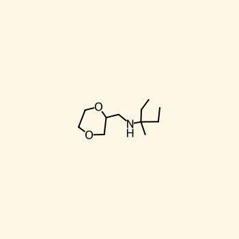 CCC(C)(CC)NCC1COCCO1